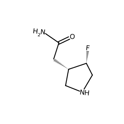 NC(=O)C[C@H]1CNC[C@H]1F